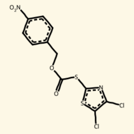 O=C(OCc1ccc([N+](=O)[O-])cc1)Sc1nc(Cl)c(Cl)s1